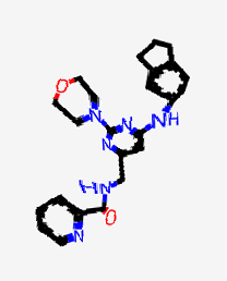 O=C(NCc1cc(Nc2ccc3c(c2)CCC3)nc(N2CCOCC2)n1)c1ccccn1